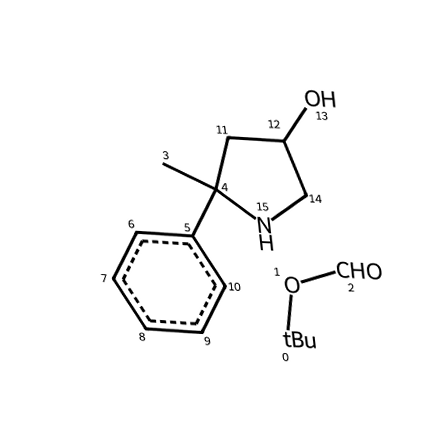 CC(C)(C)OC=O.CC1(c2ccccc2)CC(O)CN1